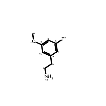 COc1cc(F)cc(CCN)c1